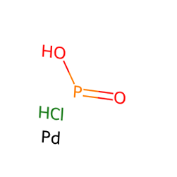 Cl.O=PO.[Pd]